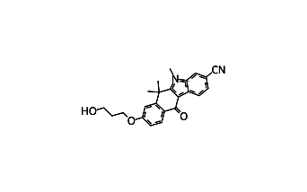 Cn1c2c(c3ccc(C#N)cc31)C(=O)c1ccc(OCCCO)cc1C2(C)C